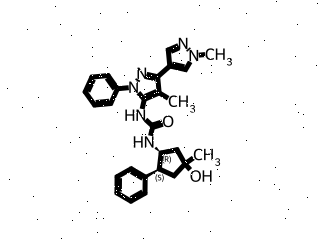 Cc1c(-c2cnn(C)c2)nn(-c2ccccc2)c1NC(=O)N[C@@H]1CC(C)(O)C[C@H]1c1ccccc1